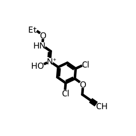 C#CCOc1c(Cl)cc([N+](O)=CNOCC)cc1Cl